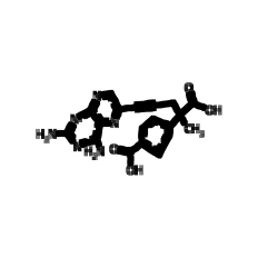 CC(CC#Cc1cnc2nc(N)nc(N)c2n1)(C(=O)O)c1ccc(C(=O)O)cc1